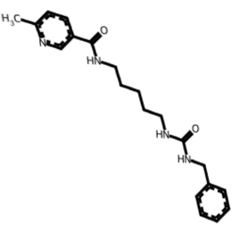 Cc1ccc(C(=O)NCCCCCNC(=O)NCc2ccccc2)cn1